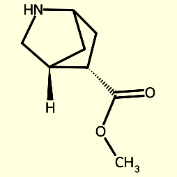 COC(=O)[C@H]1CC2C[C@H]1CN2